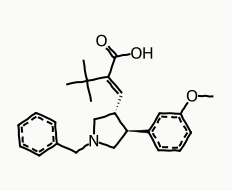 COc1cccc([C@H]2CN(Cc3ccccc3)C[C@@H]2/C=C(/C(=O)O)C(C)(C)C)c1